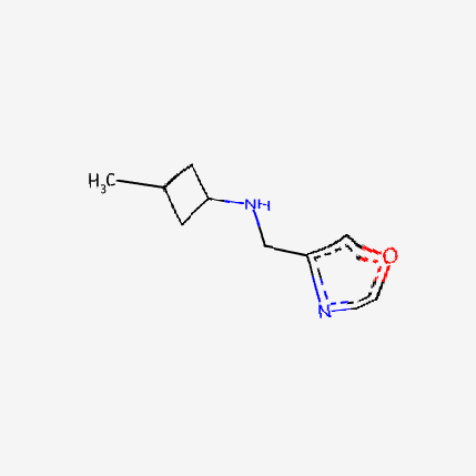 CC1CC(NCc2cocn2)C1